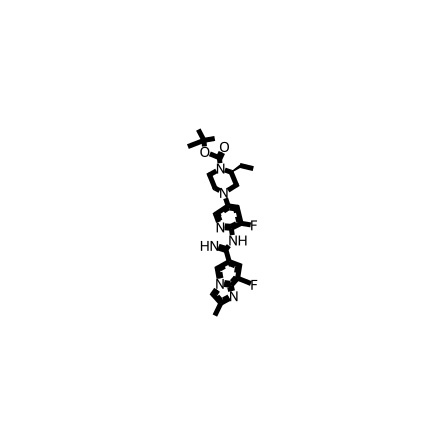 CC[C@H]1CN(c2cnc(NC(=N)c3cc(F)c4nc(C)cn4c3)c(F)c2)CCN1C(=O)OC(C)(C)C